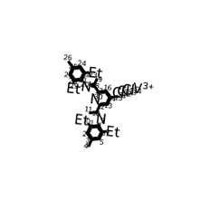 CCc1cc(C)cc(CC)c1N=C(C)c1cc(C)cc(C(C)=Nc2c(CC)cc(C)cc2CC)n1.[Cl-].[Cl-].[Cl-].[V+3]